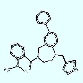 CN(C)c1ccccc1C(=O)N1CCN(Cc2c[nH]cn2)c2ccc(-c3ccccc3)cc2C1